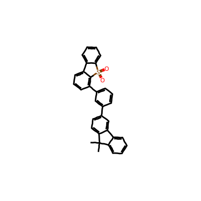 CC1(C)c2ccccc2-c2cc(-c3cccc(-c4cccc5c4S(=O)(=O)c4ccccc4-5)c3)ccc21